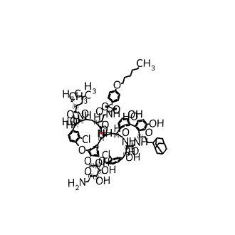 CCCCCCOc1ccc(S(=O)(=O)NC(=O)C[C@@H]2CC(=O)[C@H](NC(=O)[C@H](CC)CC(C)C)[C@H](O)c3ccc(c(Cl)c3)Oc3cc4cc(c3O[C@@H]3O[C@H](CN)[C@@H](O)[C@H](O)[C@H]3O)Oc3ccc(cc3Cl)[C@@H](O)[C@@H]3NC(=O)[C@H](CC(=O)[C@@H]4NC2=O)c2ccc(O)c(c2)-c2c(O)cc(O)cc2[C@@H](C(=O)CC2C4CC5CC(C4)CC2C5)NC3=O)cc1